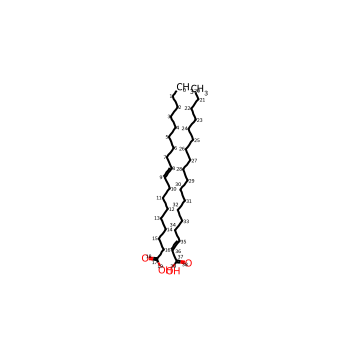 CCCCCCCC/C=C/CCCCCCCC(=O)O.CCCCCCCCCCCCCCC/C=C/C(=O)O